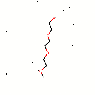 CCOCCOCCOCC[O]